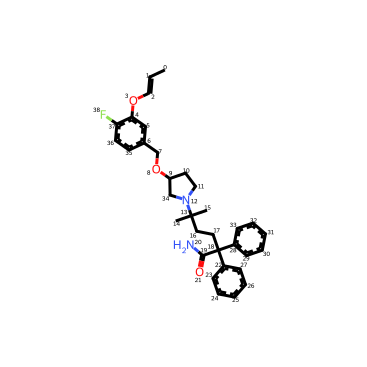 CC=COc1cc(COC2CCN(C(C)(C)CCC(C(N)=O)(c3ccccc3)c3ccccc3)C2)ccc1F